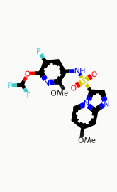 COc1ccn2c(S(=O)(=O)Nc3cc(F)c(OC(F)F)nc3OC)cnc2c1